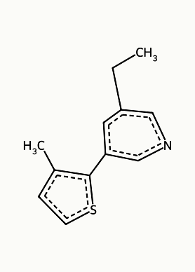 CCc1cncc(-c2sccc2C)c1